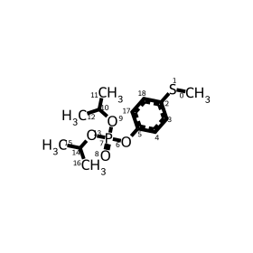 CSc1ccc(OP(=O)(OC(C)C)OC(C)C)cc1